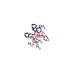 CC(C)CC(OC(=O)N1CCOCC1)C(=O)NC(Cc1ccccc1)C(O)C(Cc1ccccc1)NC(=O)OC(C)(C)C